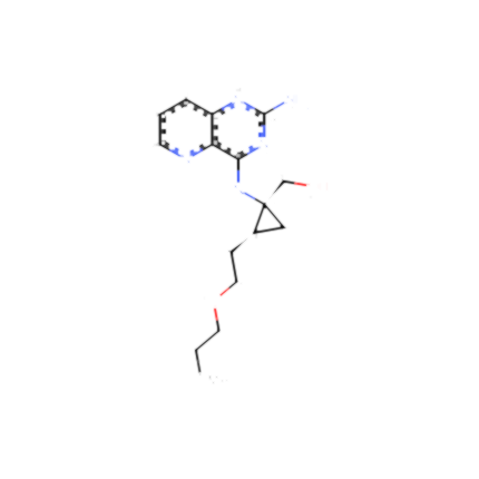 COCCOCC[C@@H]1C[C@@]1(CO)Nc1nc(N)nc2cccnc12